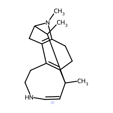 CC1C2CC3=C(CCC4=C3CCN/C=C\C41C)N2C